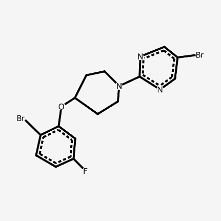 Fc1ccc(Br)c(OC2CCN(c3ncc(Br)cn3)CC2)c1